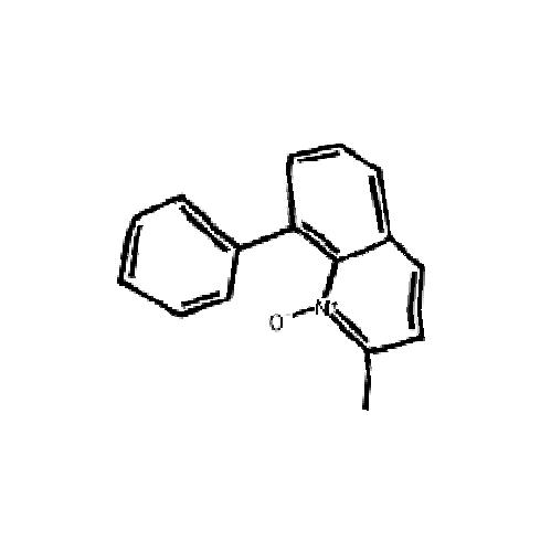 Cc1ccc2cccc(-c3ccccc3)c2[n+]1[O-]